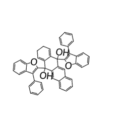 OC1(c2oc3ccccc3c2-c2ccccc2)C2=CCCC=C2C(O)(c2oc3ccccc3c2-c2ccccc2)c2cc3ccccc3cc21